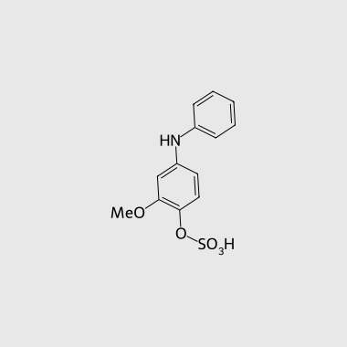 COc1cc(Nc2ccccc2)ccc1OS(=O)(=O)O